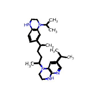 CC(C)c1cnc2c(c1)N(C(C)CCC(C)c1ccc3c(c1)N(C(C)C)CCN3)CCN2